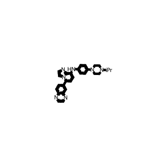 CC(C)N1CCN(c2ccc(Nc3ccc(-c4ccc5nccnc5c4)n4ccnc34)cc2)CC1